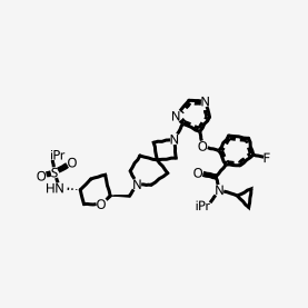 CC(C)N(C(=O)c1cc(F)ccc1Oc1cncnc1N1CC2(CCN(C[C@@H]3CC[C@@H](NS(=O)(=O)C(C)C)CO3)CC2)C1)C1CC1